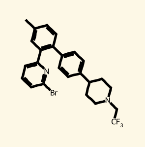 Cc1ccc(-c2ccc(C3CCN(CC(F)(F)F)CC3)cc2)c(-c2cccc(Br)n2)c1